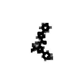 O=C(Nc1cn(C2CCNCC2)nc1C(F)F)c1coc(-c2c[c]ncc2)n1